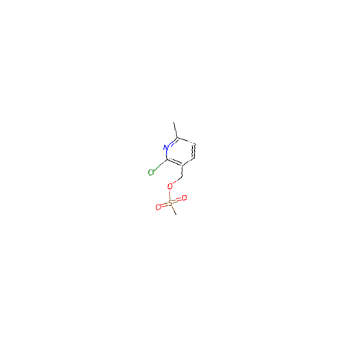 Cc1ccc(COS(C)(=O)=O)c(Cl)n1